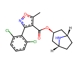 Cc1onc(-c2c(Cl)cccc2Cl)c1C(=O)O[C@@H]1C[C@H]2CC[C@@H](C1)N2